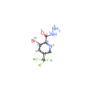 NNC(=O)c1ncc(C(F)(F)F)cc1Br